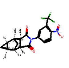 O=C1[C@@H]2[C@H]3C[C@H]([C@H]4C[C@H]43)[C@@H]2C(=O)N1c1ccc([N+](=O)[O-])c(C(F)(F)F)c1